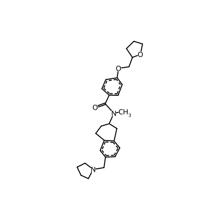 CN(C(=O)c1ccc(OCC2CCCO2)cc1)C1CCc2cc(CN3CCCC3)ccc2C1